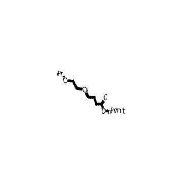 CCCCCOC(=O)CCCOCCOC(C)C